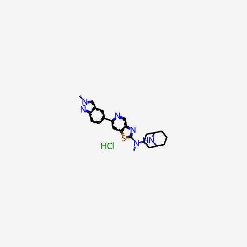 CN(c1nc2cnc(-c3ccc4nn(C)cc4c3)cc2s1)C1CC2CCCC(C1)N2.Cl